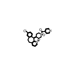 O=C(c1ccncc1)[N+]1([O-])CCC(=C2c3ccc(Cl)cc3CCc3ccc[n+]([O-])c32)CC1